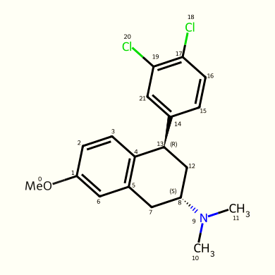 COc1ccc2c(c1)C[C@@H](N(C)C)C[C@@H]2c1ccc(Cl)c(Cl)c1